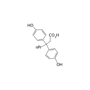 CCCC(CC(=O)O)(c1ccc(O)cc1)c1ccc(O)cc1